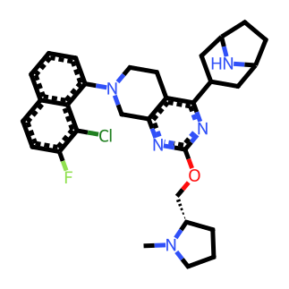 CN1CCC[C@H]1COc1nc2c(c(C3CC4CCC(C3)N4)n1)CCN(c1cccc3ccc(F)c(Cl)c13)C2